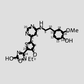 CCOc1cc(-c2cc(NCCc3ccc(O)c(OC)c3)ncn2)sc1-c1noc(O)n1